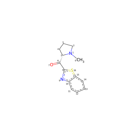 CN1CCC[C@H]1C(=O)c1nc2ccccc2s1